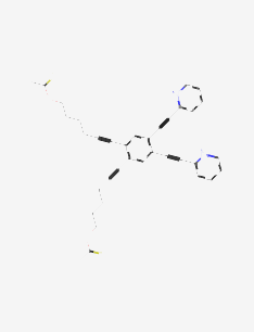 CC(=S)OCCCCC#Cc1cc(C#Cc2ccccn2)c(C#Cc2ccccn2)cc1C#CCCCCOC(C)=S